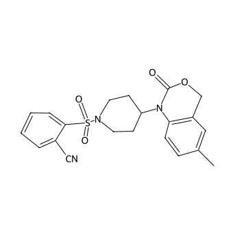 Cc1ccc2c(c1)COC(=O)N2C1CCN(S(=O)(=O)c2ccccc2C#N)CC1